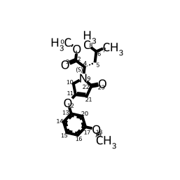 COC(=O)[C@H](CC(C)C)N1CC(Oc2cccc(OC)c2)=CC1=O